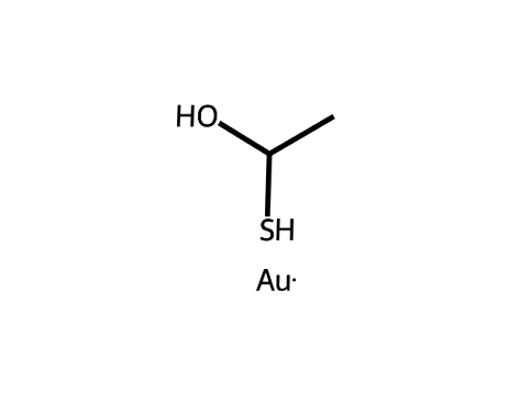 CC(O)S.[Au]